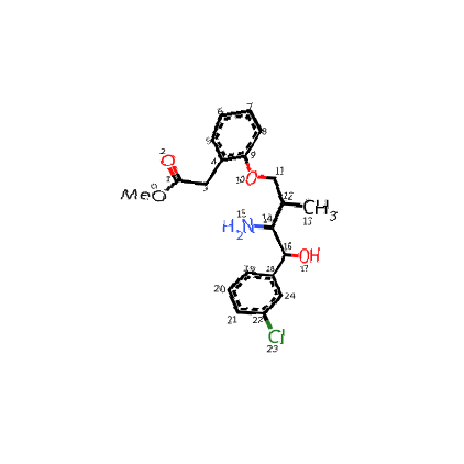 COC(=O)Cc1ccccc1OCC(C)C(N)C(O)c1cccc(Cl)c1